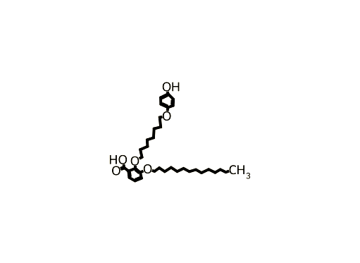 CCCCCCCCCCCCCCOc1cccc(C(=O)O)c1OCCCCCCCCOc1ccc(O)cc1